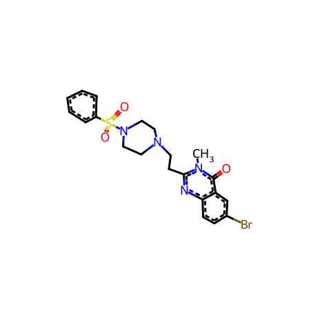 Cn1c(CCN2CCN(S(=O)(=O)c3ccccc3)CC2)nc2ccc(Br)cc2c1=O